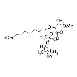 CCCCCCCCCCCCCCCCCCOC(C(C)OC)S(=O)(=O)OS(C)(=O)=O.CCC[N+](C)(C)C